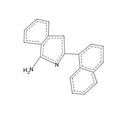 Nc1nc(-c2cccc3ccccc23)cc2ccccc12